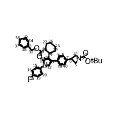 CC(C)(C)OC(=O)N1CC(c2ccc(-c3cn(-c4ccc(F)cc4)nc3[C@@H]3CCCC[C@H]3C(=O)OCc3ccccc3)cc2)C1